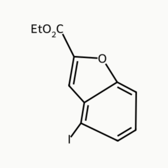 CCOC(=O)c1cc2c(I)cccc2o1